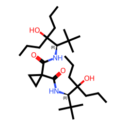 CCCC(O)(CCC)[C@H](NC(=O)C1(C(=O)N[C@H](C(C)(C)C)C(O)(CCC)CCC)CC1)C(C)(C)C